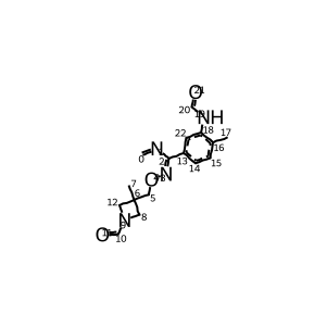 C=N/C(=N\OCC1(C)CN(C=O)C1)c1ccc(C)c(NC=O)c1